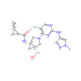 Cn1cc(Nc2ncc(F)c(N3C[C@@]4(CO)C[C@@]4(NC(=O)C4C[C@H]4C#N)C3)n2)cn1